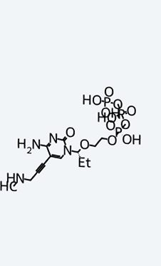 CC[C@@H](OCCOP(=O)(O)OP(=O)(O)OP(=O)(O)O)n1cc(C#CCNC=O)c(N)nc1=O